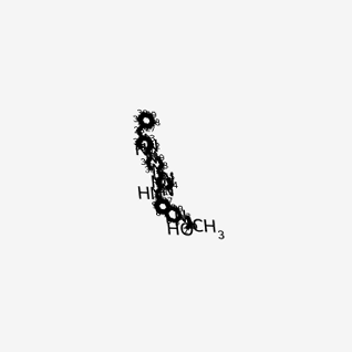 C[C@H](O)CN1CCc2ccc(Nc3ncnc(N4CCN(c5ncc(Cc6ccccc6)cn5)CC4)n3)cc2C1